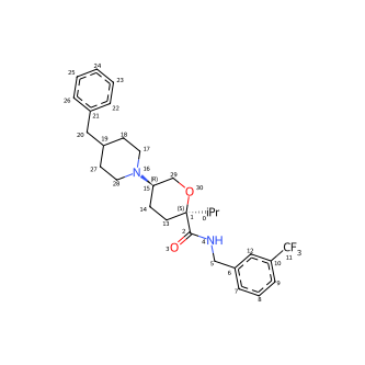 CC(C)[C@]1(C(=O)NCc2cccc(C(F)(F)F)c2)CC[C@@H](N2CCC(Cc3ccccc3)CC2)CO1